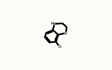 Clc1[c]ccc2c1OCCN2